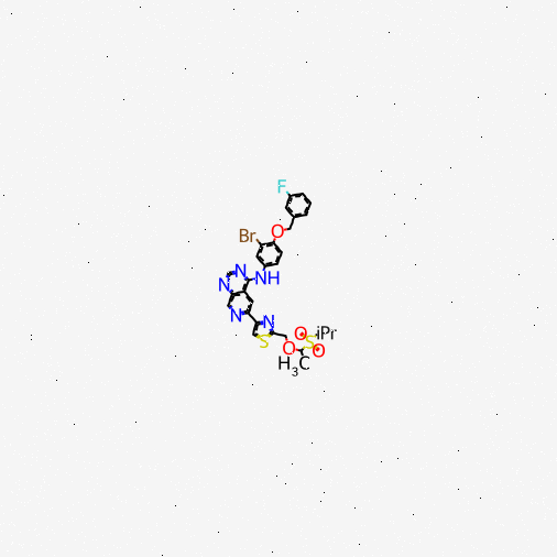 CC(C)S(=O)(=O)C(C)OCc1nc(-c2cc3c(Nc4ccc(OCc5cccc(F)c5)c(Br)c4)ncnc3cn2)cs1